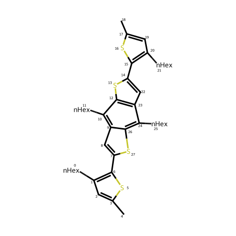 CCCCCCc1cc(C)sc1-c1cc2c(CCCCCC)c3sc(-c4sc(C)cc4CCCCCC)cc3c(CCCCCC)c2s1